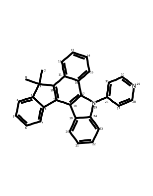 CC1(C)c2ccccc2-c2c1c1ccccc1c1c2c2ccccc2n1-c1ccncc1